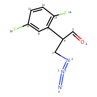 [N-]=[N+]=NCC(C=O)c1cc(F)ccc1F